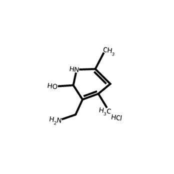 CC1=CC(C)=C(CN)C(O)N1.Cl